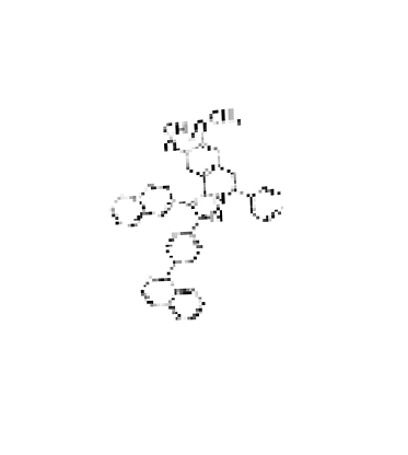 COc1cc2cc(-c3ccccc3)n3nc(-c4ccc(-c5cccc6ccccc56)cc4)c(-c4ccc5ccccc5c4)c3c2cc1OC